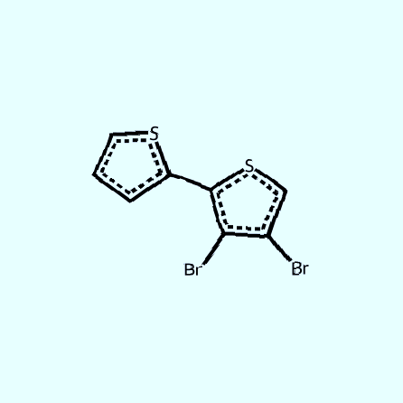 Brc1csc(-c2cccs2)c1Br